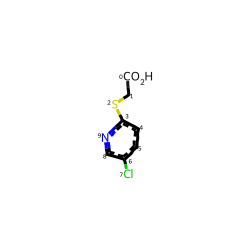 O=C(O)CSc1ccc(Cl)cn1